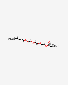 CCCCCCCCCCCCCCOCCOCCOCCOC(=O)CCCCCCCCCCC